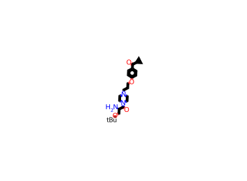 CC(C)(C)OC[C@@H](N)C(=O)N1CCN(CCCOc2ccc(C(=O)C3CC3)cc2)CC1